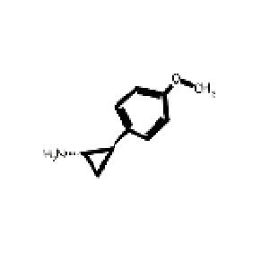 COc1ccc([C@H]2C[C@@H]2N)cc1